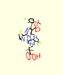 Cc1c(F)cccc1C1N=C(c2nccs2)NC(CN2CC(F)(F)C3C2CCN3CCC(C)(C)C(=O)O)=C1C(=O)OC(C)C